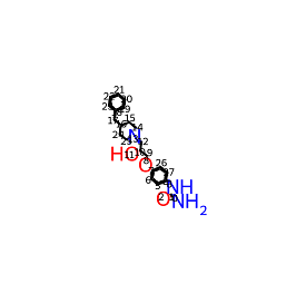 NC(=O)Nc1ccc(OC[C@@H](O)CN2CCC(Cc3ccccc3)CC2)cc1